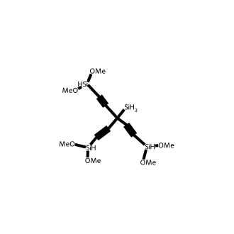 CO[SiH](C#CC([SiH3])(C#C[SiH](OC)OC)C#C[SiH](OC)OC)OC